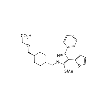 CSc1c(-c2cccs2)c(-c2ccccc2)nn1C[C@H]1CC[C@H](COCC(=O)O)CC1